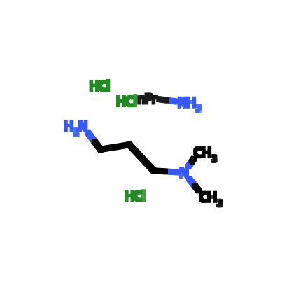 CCCN.CN(C)CCCN.Cl.Cl.Cl